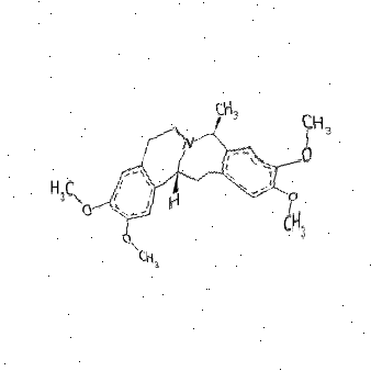 COc1cc2c(cc1OC)[C@H]1Cc3cc(OC)c(OC)cc3[C@H](C)N1CC2